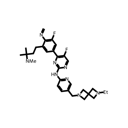 C=Nc1c(F)cc(-c2nc(Nc3ccc(CN4CC5(CN(CC)C5)C4)cn3)ncc2F)cc1CCC(C)(C)NC